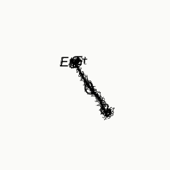 CCOP(=O)(CCCCCCCCCCOCCCCCCCCOCc1ccccc1)OCC